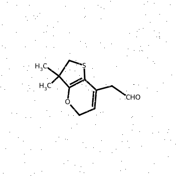 CC1(C)CSC2=C1OCC=C2CC=O